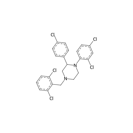 Clc1ccc(C2CN(Cc3c(Cl)cccc3Cl)CCN2c2ccc(Cl)cc2Cl)cc1